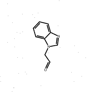 O=[C]Cn1cnc2ccccc21